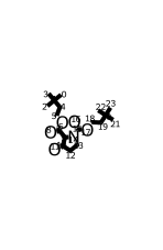 CC(C)(C)CCOC(=O)C1C(=O)CCN1C(=O)OCCC(C)(C)C